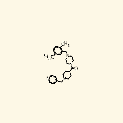 Cc1ccc(C)c(CN2CCN(C(=O)C3CCN(Cc4ccncc4)CC3)CC2)c1